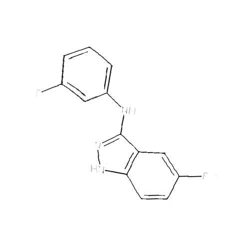 Fc1cccc(Nc2n[nH]c3ccc(F)cc23)c1